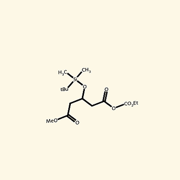 CCOC(=O)OC(=O)CC(CC(=O)OC)O[Si](C)(C)C(C)(C)C